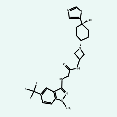 Cn1nc(NCC(=O)NC2CN([C@H]3CC[C@@](O)(c4cncs4)CC3)C2)c2cc(C(F)(F)F)ccc21